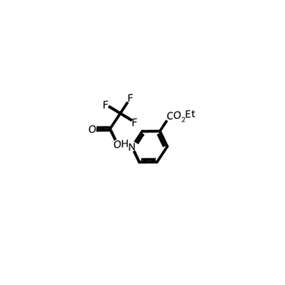 CCOC(=O)c1cccnc1.O=C(O)C(F)(F)F